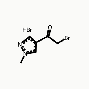 Br.Cn1cc(C(=O)CBr)cn1